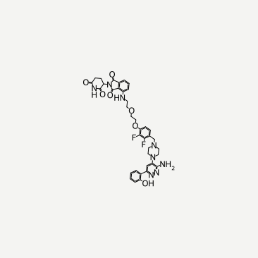 Nc1nnc(-c2ccccc2O)cc1N1CCN(Cc2ccc(OCCOCCNc3cccc4c3C(=O)N(C3CCC(=O)NC3=O)C4=O)c(F)c2F)CC1